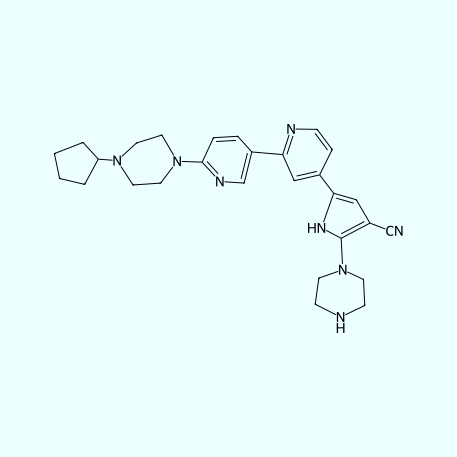 N#Cc1cc(-c2ccnc(-c3ccc(N4CCN(C5CCCC5)CC4)nc3)c2)[nH]c1N1CCNCC1